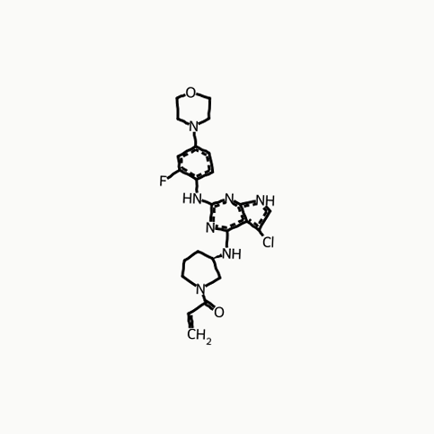 C=CC(=O)N1CCC[C@@H](Nc2nc(Nc3ccc(N4CCOCC4)cc3F)nc3[nH]cc(Cl)c23)C1